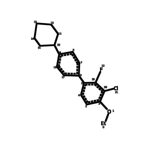 CCOc1ccc(-c2ccc(C3CCCCC3)cc2)c(F)c1Cl